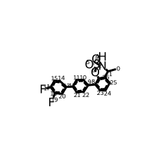 CC1NS(=O)(=O)Oc2c(-c3ccc(-c4ccc(F)c(F)c4)cc3)cccc21